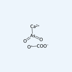 O=C([O-])[O-].O=[As](=O)[Ca+2]